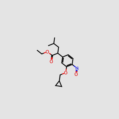 CCOC(=O)C(CC(C)C)c1ccc(N=O)c(OCC2CC2)c1